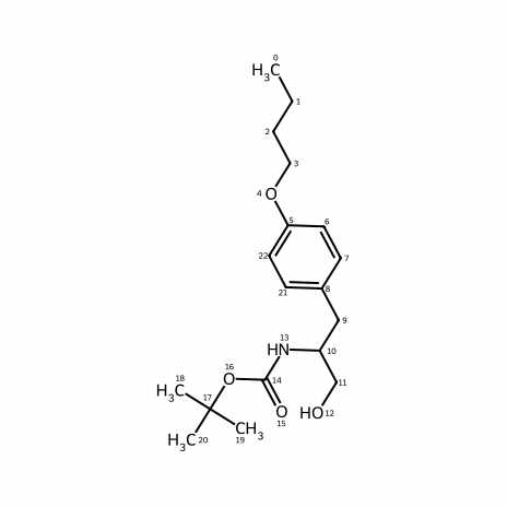 CCCCOc1ccc(CC(CO)NC(=O)OC(C)(C)C)cc1